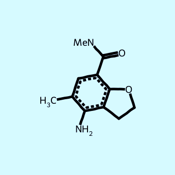 CNC(=O)c1cc(C)c(N)c2c1OCC2